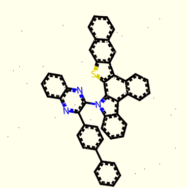 c1ccc(-c2ccc(-c3nc4ccccc4nc3-n3c4ccccc4c4c5ccccc5c5c6cc7ccccc7cc6sc5c43)cc2)cc1